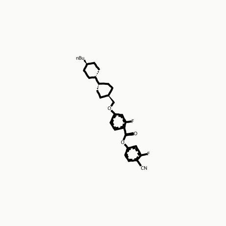 CCCC[C@H]1CC[C@H]([C@H]2CC[C@H](COc3ccc(C(=O)Oc4ccc(C#N)c(F)c4)c(F)c3)CC2)CC1